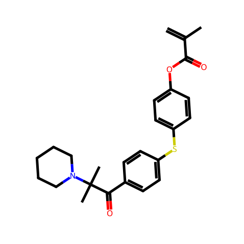 C=C(C)C(=O)Oc1ccc(Sc2ccc(C(=O)C(C)(C)N3CCCCC3)cc2)cc1